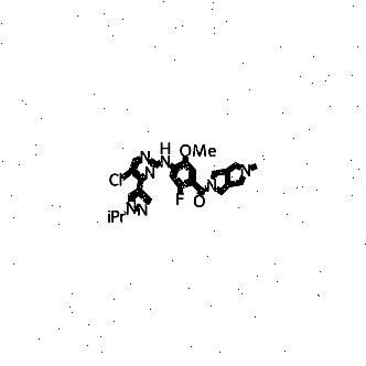 COc1cc(C(=O)N2CC3CN(C)CC3C2)c(F)cc1Nc1ncc(Cl)c(-c2cnn(C(C)C)c2)n1